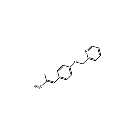 CC(=Cc1ccc(OCc2ccccn2)cc1)C(=O)O